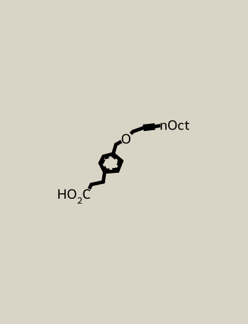 CCCCCCCCC#CCOCc1ccc(CCC(=O)O)cc1